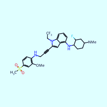 CNC1CCC(Nc2cccc3c2cc(C#CCNc2ccc(S(C)(=O)=O)cc2OC)n3CC(F)(F)F)C(F)C1